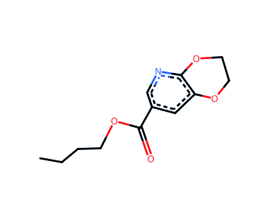 CCCCOC(=O)c1cnc2c(c1)OCCO2